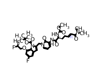 COC(=O)N[C@@H](CC/C=C/C(=O)N(C)C)C(=O)Nc1cccn(Cc2cc3cc(F)cc(OCC(F)F)c3n2C(=O)OC(C)(C)C)c1=O